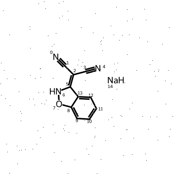 N#CC(C#N)=C1NOc2ccccc21.[NaH]